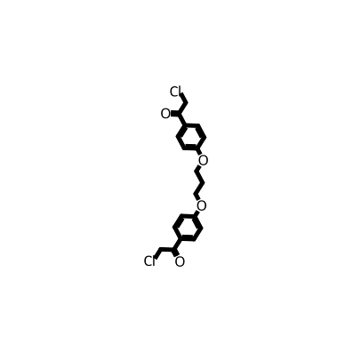 O=C(CCl)c1ccc(OCCCOc2ccc(C(=O)CCl)cc2)cc1